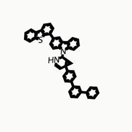 C1=CC2(c3ccc(-c4cccc(-c5ccccc5)c4)cc3)C=C2C(n2c3ccccc3c3cc(-c4cccc5c4sc4ccccc45)ccc32)N1